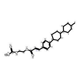 CC1CCC(C2CCC(c3ccc(/C=C/C(=O)OCCOC(=O)C(C)(C)C)cc3)CC2)CC1